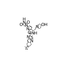 CC1([C@H]2CCc3nc4sc(C(=O)NC(CCN5CCC(O)CC5)c5ccc(N6CC(=O)NC6=O)nc5)nc4cc3C2)CC1